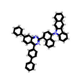 c1ccc(-c2ccc(-c3nc(-c4ccc(-n5c6ccccc6c6cc7ccccc7cc65)c5ccccc45)nc4cc(-c5ccccc5)ccc34)cc2)cc1